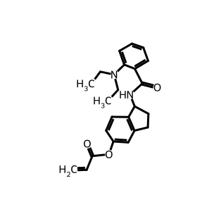 C=CC(=O)Oc1ccc2c(c1)CCC2NC(=O)c1ccccc1N(CC)CC